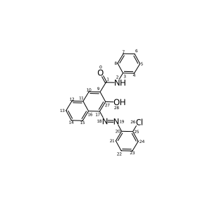 O=C(Nc1ccccc1)c1cc2ccccc2c(N=Nc2ccccc2Cl)c1O